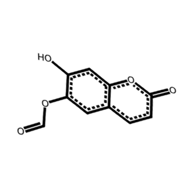 O=COc1cc2ccc(=O)oc2cc1O